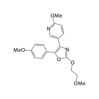 COCCOc1nc(-c2ccc(OC)nc2)c(-c2ccc(OC)cc2)o1